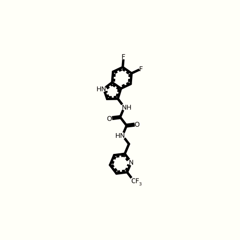 O=C(NCc1cccc(C(F)(F)F)n1)C(=O)Nc1c[nH]c2cc(F)c(F)cc12